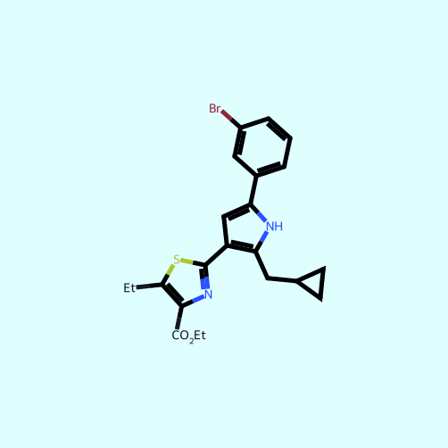 CCOC(=O)c1nc(-c2cc(-c3cccc(Br)c3)[nH]c2CC2CC2)sc1CC